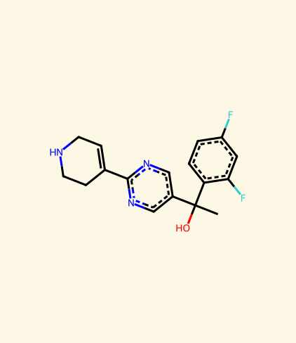 CC(O)(c1cnc(C2=CCNCC2)nc1)c1ccc(F)cc1F